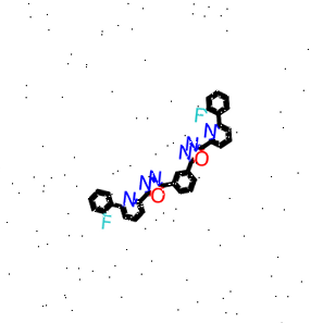 Fc1ccccc1-c1cccc(-c2nnc(-c3cccc(-c4nnc(-c5cccc(-c6ccccc6F)n5)o4)c3)o2)n1